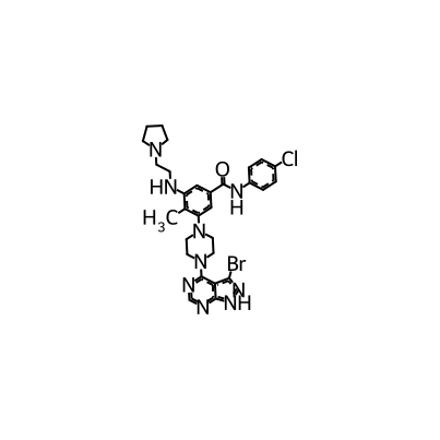 Cc1c(NCCN2CCCC2)cc(C(=O)Nc2ccc(Cl)cc2)cc1N1CCN(c2ncnc3[nH]nc(Br)c23)CC1